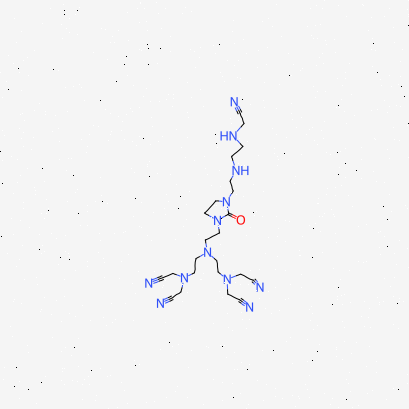 N#CCNCCNCCN1CCN(CCN(CCN(CC#N)CC#N)CCN(CC#N)CC#N)C1=O